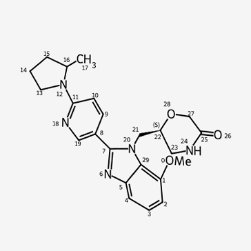 COc1cccc2nc(-c3ccc(N4CCCC4C)nc3)n(C[C@@H]3CNC(=O)CO3)c12